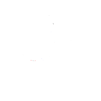 N#Cc1ccc(N(c2c(F)cc(-c3ccccc3)cc2-c2ccccc2)c2ccc3ccc4c(N(c5ccc(C#N)cc5)c5c(F)cc(-c6ccccc6)cc5-c5ccccc5)ccc5ccc2c3c54)cc1